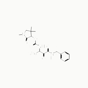 CCCCC(NC(=O)OC1C(=O)N(C)CC1(C)C)C(=O)C(=O)N[C@H](C)c1ccccc1